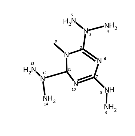 CN1C(N(N)N)=NC(NN)=NC1N(N)N